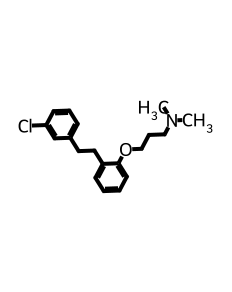 CN(C)CCCOc1ccccc1CCc1cccc(Cl)c1